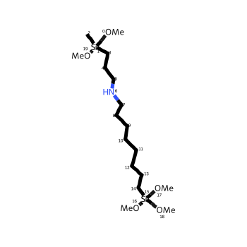 CO[Si](C)(CCCNCCCCCCCC[Si](OC)(OC)OC)OC